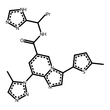 Cc1ccc(-c2cnc3c(-n4nncc4C)cc(C(=O)NC(c4nnc[nH]4)C(C)C)cn23)s1